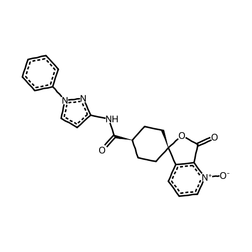 O=C1O[C@]2(CC[C@H](C(=O)Nc3ccn(-c4ccccc4)n3)CC2)c2ccc[n+]([O-])c21